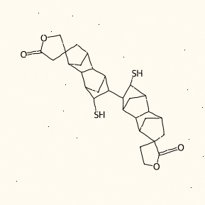 O=C1CC2(CO1)CC1CC2C2C3CC(C12)C(C1C(S)C2CC1C1C2C2CC1C1(CCOC1=O)C2)C3S